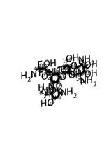 CNC[C@H]1O[C@H](O[C@H]2[C@H](O[C@@H]3O[C@H](CO)[C@@H](O[C@H]4O[C@@H](CN)[C@@H](O)[C@H](O)[C@H]4N)[C@H]3O)[C@@H](O)[C@H](NC(=O)C(O)C(F)(F)CN)C[C@@H]2N)[C@H](N)C[C@@H]1O